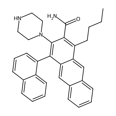 CCCCc1c(C(N)=O)c(N2CCNCC2)c(-c2cccc3ccccc23)c2cc3ccccc3cc12